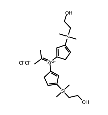 C[C](C)=[Zr+2]([C]1=CC([Si](C)(C)CCO)=CC1)[C]1=CC([Si](C)(C)CCO)=CC1.[Cl-].[Cl-]